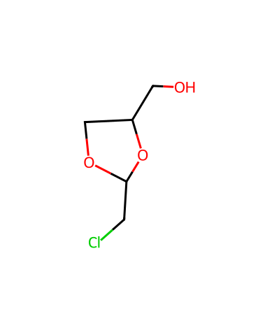 OCC1COC(CCl)O1